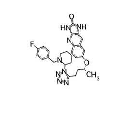 CC(CCc1nnnn1C1CCCCN1Cc1ccc(F)cc1)Oc1ccc2nc3[nH]c(=O)[nH]c3cc2c1